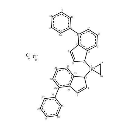 C1=C[CH]([Ti+2]2([CH]3C=Cc4c(-c5ccccc5)cccc43)[CH2][CH2]2)c2cccc(-c3ccccc3)c21.[Cl-].[Cl-]